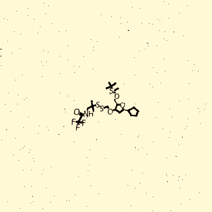 CC(C)(CNC(=O)C(F)(F)F)SSCOC1C[C@H](C2CCCC2)O[C@@H]1CO[Si](C)(C)C(C)(C)C